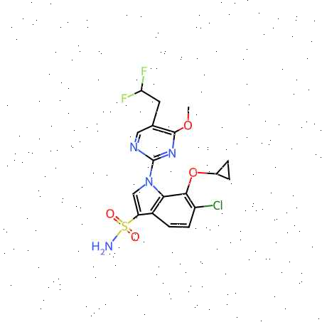 COc1nc(-n2cc(S(N)(=O)=O)c3ccc(Cl)c(OC4CC4)c32)ncc1CC(F)F